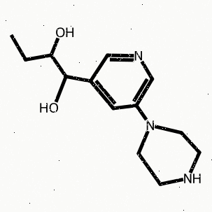 CCC(O)C(O)c1cncc(N2CCNCC2)c1